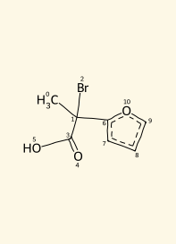 CC(Br)(C(=O)O)c1ccco1